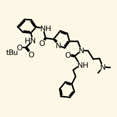 CN(C)CCCN(Cc1ccc(C(=O)Nc2ccccc2NC(=O)OC(C)(C)C)nc1)C(=O)NCCc1ccccc1